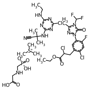 CCNc1nc(Cl)nc(NC(C)(C)C#N)n1.CCOC(=O)C(Cl)Cc1cc(-n2nc(C)n(C(F)F)c2=O)c(F)cc1Cl.C[S+](C)C.O=C(O)CNCP(=O)([O-])O